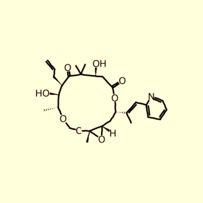 C=CC[C@H]1C(=O)C(C)(C)[C@@H](O)CC(=O)O[C@H](C(C)=Cc2ccccn2)C[C@@H]2O[C@]2(C)CCO[C@H](C)[C@H]1O